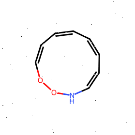 c1ccccoo[nH]ccc1